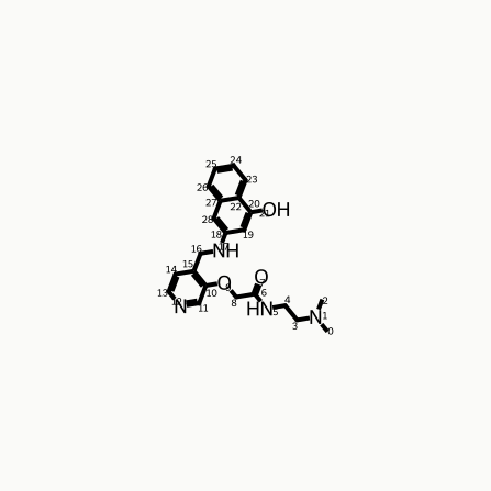 CN(C)CCNC(=O)COc1cnccc1CNc1cc(O)c2ccccc2c1